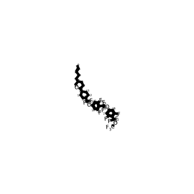 C/C=C/CCC1CCC(C2CCC(C(F)(F)Oc3cc(F)c(C(F)(F)Oc4cc(F)c(C(F)(F)OC(F)(F)F)c(F)c4)c(F)c3)CC2)OC1